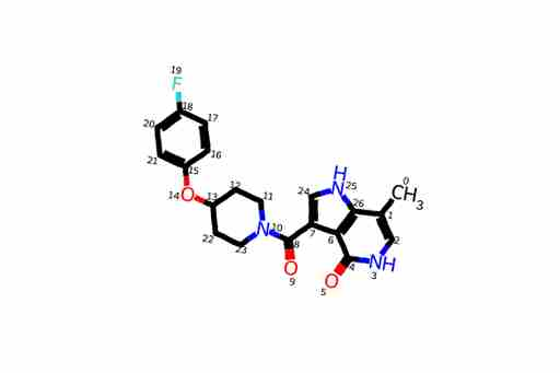 Cc1c[nH]c(=O)c2c(C(=O)N3CCC(Oc4ccc(F)cc4)CC3)c[nH]c12